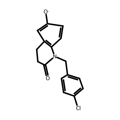 [O]c1ccc2c(c1)CCC(=O)N2Cc1ccc(Cl)cc1